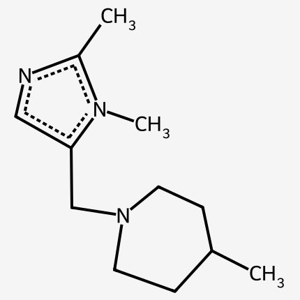 Cc1ncc(CN2CCC(C)CC2)n1C